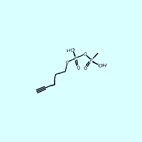 C#CCCCOP(=O)(O)OP(C)(=O)O